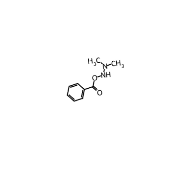 CN(C)NOC(=O)c1ccccc1